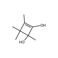 CC1=C(O)C(C)(O)C1(C)C